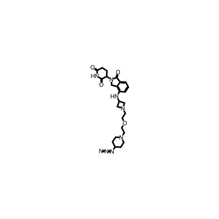 [N-]=[N+]=NC1CCN(CCOCCN2CC(Nc3cccc4c3CN(C3CCC(=O)NC3=O)C4=O)C2)CC1